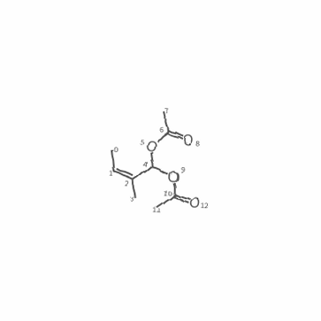 CC=C(C)C(OC(C)=O)OC(C)=O